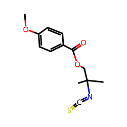 COc1ccc(C(=O)OCC(C)(C)N=C=S)cc1